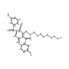 CCCCCCCCCCCC1=C(C(=O)c2cccc(F)c2)C(=O)C=C(C(=O)c2cccc(F)c2)C1=O